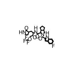 O=C1NCCC1CC(NC(=O)C1C2CCCC2CN1C(=O)c1cc2cc(F)ccc2[nH]1)C(=O)COC(F)(F)F